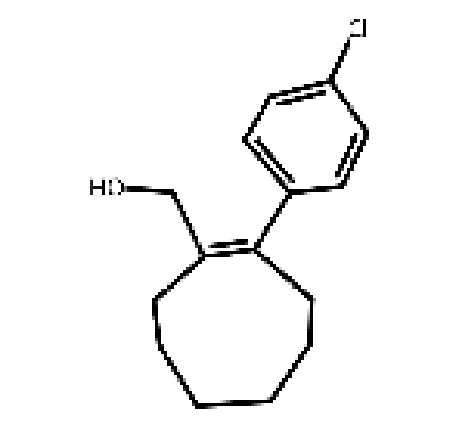 OC/C1=C(\c2ccc(Cl)cc2)CCCCCC1